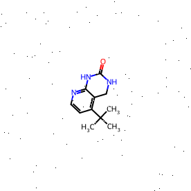 CC(C)(C)c1ccnc2c1CNC(=O)N2